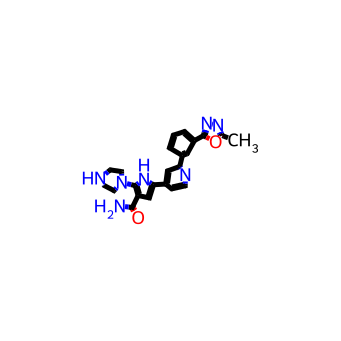 Cc1nnc(-c2cccc(-c3cc(-c4cc(C(N)=O)c(N5CCNCC5)[nH]4)ccn3)c2)o1